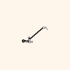 CCCCCCCCCCCCCCCCCC(=O)OCC(CO)OCc1ccccc1